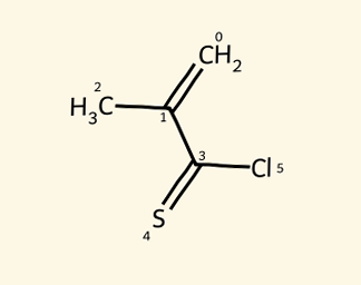 C=C(C)C(=S)Cl